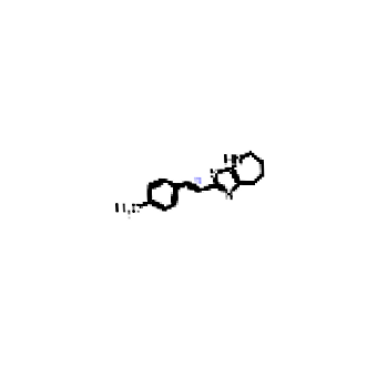 Cc1ccc(/C=C/c2nc3c(s2)NCCCC3)cc1